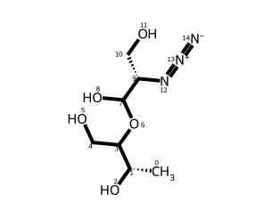 C[C@H](O)C(CO)OC(O)[C@H](CO)N=[N+]=[N-]